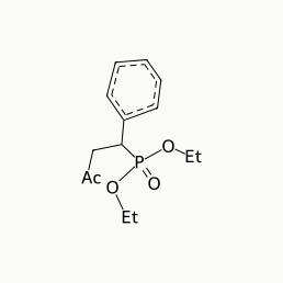 CCOP(=O)(OCC)C(CC(C)=O)c1ccccc1